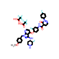 COc1ccc(Cn2nc(N[C@H]3CCNC[C@@H]3F)c3c(Oc4ccc(NC(=O)c5ccnn(-c6ccc(F)cc6)c5=O)cc4F)ccnc32)cc1.O=C(O)C(F)(F)F.O=C(O)C(F)(F)F